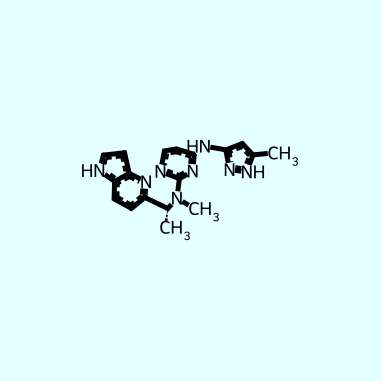 Cc1cc(Nc2ccnc(N(C)[C@H](C)c3ccc4[nH]ccc4n3)n2)n[nH]1